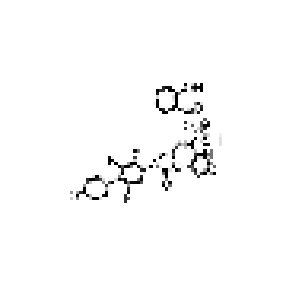 O=C1C=CN(c2c(F)cc(N3CC(CN(c4ccon4)P(=O)(O)OC(=O)c4ccccc4O)OC3=O)c(F)c2F)CC1